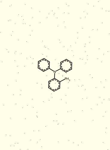 Pc1ccccc1N(c1ccccc1)c1ccccc1